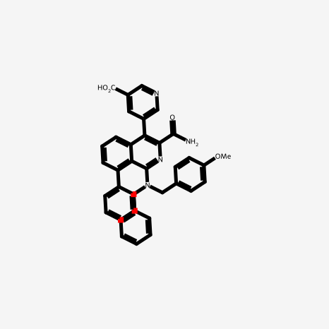 COc1ccc(CN(Cc2ccccc2)c2nc(C(N)=O)c(-c3cncc(C(=O)O)c3)c3cccc(-c4ccccc4)c23)cc1